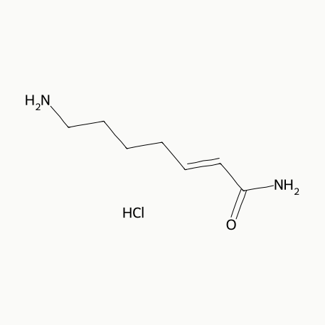 Cl.NCCCCC=CC(N)=O